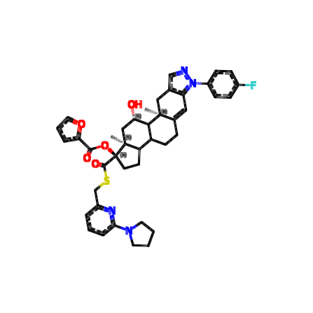 C[C@]12Cc3cnn(-c4ccc(F)cc4)c3C=C1CCC1C2[C@@H](O)C[C@@]2(C)C1CC[C@]2(OC(=O)c1ccco1)C(=O)SCc1cccc(N2CCCC2)n1